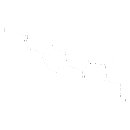 C/N=C/c1ccc(-c2ccc(CO)c(=O)[nH]2)cc1